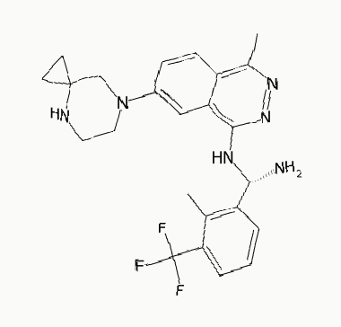 Cc1c([C@@H](N)Nc2nnc(C)c3ccc(N4CCNC5(CC5)C4)cc23)cccc1C(F)(F)F